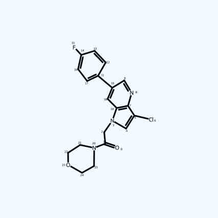 O=C(Cn1cc(Cl)c2ncc(-c3ccc(F)cc3)cc21)N1CCOCC1